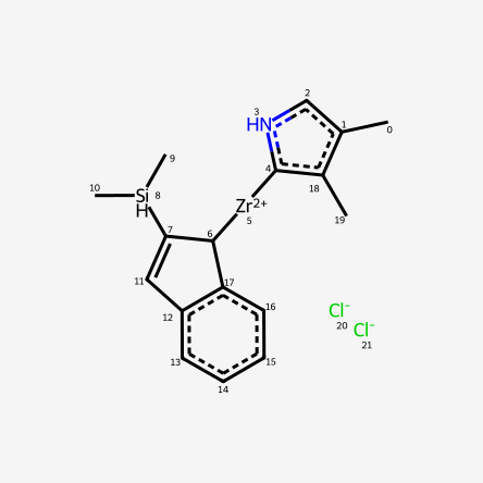 Cc1c[nH][c]([Zr+2][CH]2C([SiH](C)C)=Cc3ccccc32)c1C.[Cl-].[Cl-]